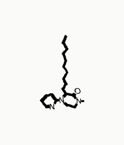 CCCCCCCCCCC1C(=O)N(C)CCN1c1ccccn1